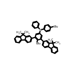 CC(C)(C)c1ccc(N(c2ccccc2)c2cc(-c3ccc4c(c3)C(C)(C)c3ccccc3-4)c(C(C)(C)C)c(-c3ccc4c(c3)C(C)(C)c3ccccc3-4)c2)cc1